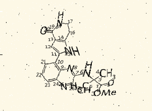 COC(=O)C(C)(C)Nc1nc2c(-c3cc4c([nH]3)CCNC4=O)cccc2nc1C